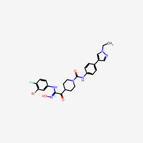 CCn1cc(-c2ccc(NC(=O)N3CCC(C(=O)/C(=N/O)Nc4ccc(F)c(Br)c4)CC3)cc2)cn1